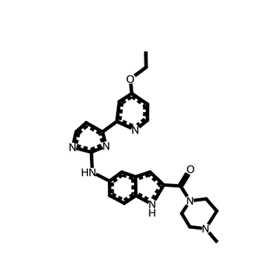 CCOc1ccnc(-c2ccnc(Nc3ccc4[nH]c(C(=O)N5CCN(C)CC5)cc4c3)n2)c1